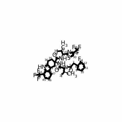 C[C@@H](I)[C@H](NC(=O)Cc1ccccc1F)C(=O)N[C@]1(C(=O)N[C@H](c2nc(C(F)(F)F)cs2)[C@@H](C)I)CCc2[nH]c3c(C(F)(F)F)cccc3c2C1